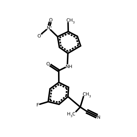 Cc1ccc(NC(=O)c2cc(F)cc(C(C)(C)C#N)c2)cc1[N+](=O)[O-]